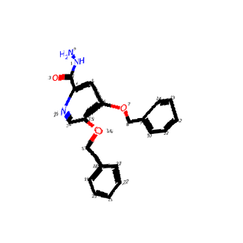 NNC(=O)c1cc(OCc2ccccc2)c(OCc2ccccc2)cn1